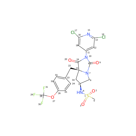 CS(=O)(=O)N[C@@H]1CN2C(=O)N(c3cc(Cl)nc(Cl)c3)C(=O)[C@@]2(Cc2ccc(OC(F)(F)F)cc2)C1